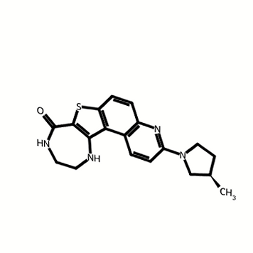 C[C@@H]1CCN(c2ccc3c(ccc4sc5c(c43)NCCNC5=O)n2)C1